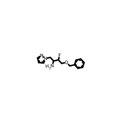 NC(Cn1cccn1)C(F)COCc1ccccc1